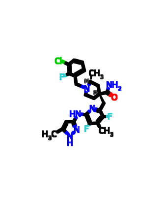 Cc1cc(Nc2nc(C[C@@]3(C(N)=O)CCN(Cc4cccc(Cl)c4F)[C@H](C)C3)c(F)c(C)c2F)n[nH]1